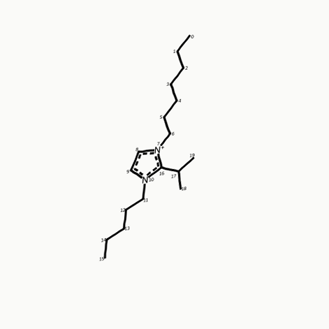 CCCCCCC[n+]1ccn(CCCCC)c1C(C)C